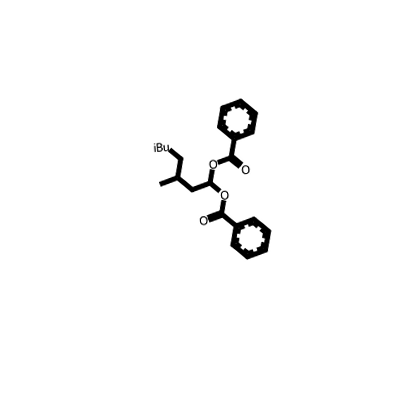 CCC(C)CC(C)CC(OC(=O)c1ccccc1)OC(=O)c1ccccc1